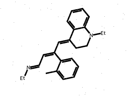 CC/N=C/C=C(/C=C1CCN(CC)c2ccccc21)c1ccccc1C